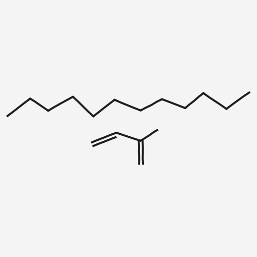 C=CC(=C)C.CCCCCCCCCCCC